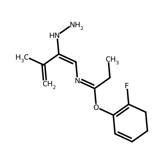 C=C(C)/C(=C\N=C(/CC)OC1=C(F)CCC=C1)NN